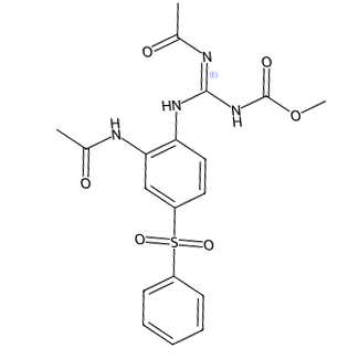 COC(=O)N/C(=N/C(C)=O)Nc1ccc(S(=O)(=O)c2ccccc2)cc1NC(C)=O